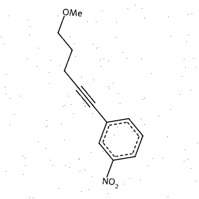 COCCCC#Cc1cccc([N+](=O)[O-])c1